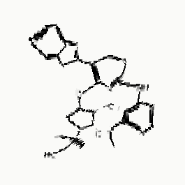 COc1cc(Nc2ncc(-c3nc4ccccc4s3)c(N[C@@H]3C[C@@H](C(C)(C)O)[C@@H](O)[C@H]3O)n2)ccn1